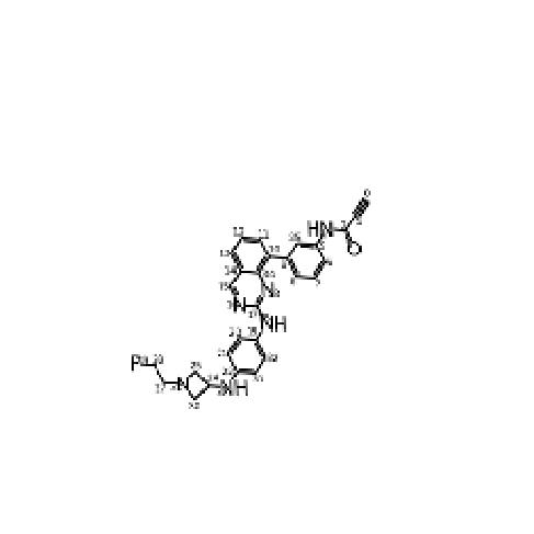 C#CC(=O)Nc1cccc(-c2cccc3cnc(Nc4ccc(NC5CN(CCF)C5)cc4)nc23)c1